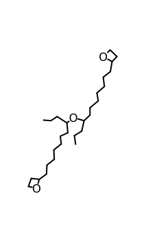 CCCC(CCCCCCCC1CCO1)OC(CCC)CCCCCCCC1CCO1